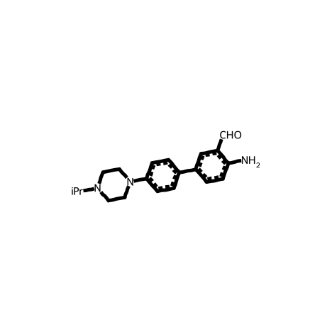 CC(C)N1CCN(c2ccc(-c3ccc(N)c(C=O)c3)cc2)CC1